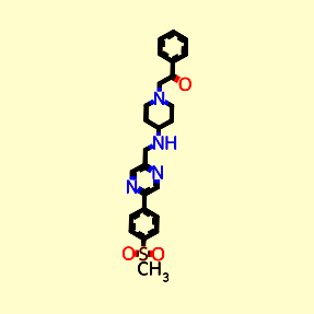 CS(=O)(=O)c1ccc(-c2cnc(CNC3CCN(CC(=O)c4ccccc4)CC3)cn2)cc1